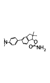 CN(C)c1ccc(-c2ccc3c(c2)CC(C)(C)C3OC(N)=O)cc1